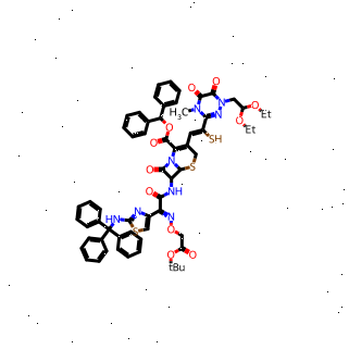 CCOC(Cn1nc(C(S)=CC2=C(C(=O)OC(c3ccccc3)c3ccccc3)N3C(=O)C(NC(=O)C(=NOCC(=O)OC(C)(C)C)c4csc(NC(c5ccccc5)(c5ccccc5)c5ccccc5)n4)C3SC2)n(C)c(=O)c1=O)OCC